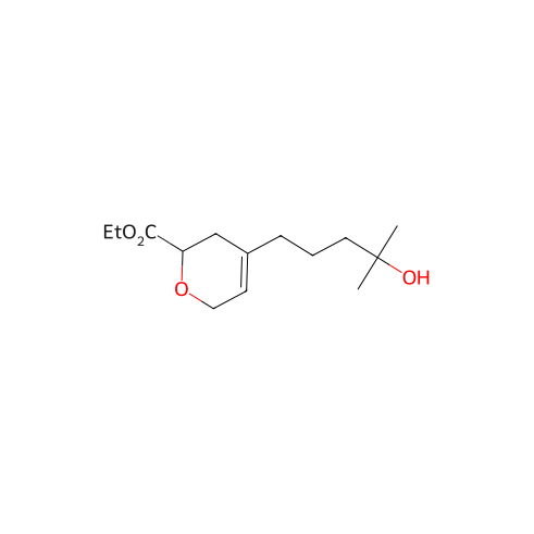 CCOC(=O)C1CC(CCCC(C)(C)O)=CCO1